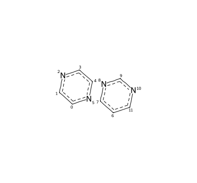 c1cnccn1.c1cncnc1